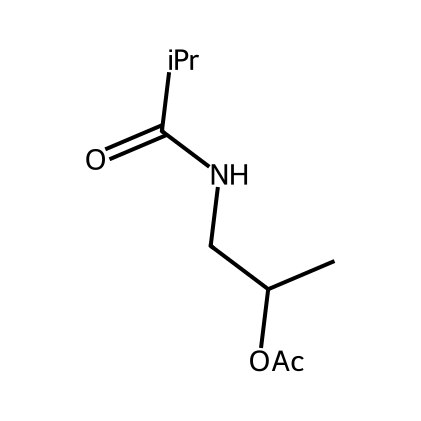 CC(=O)OC(C)CNC(=O)C(C)C